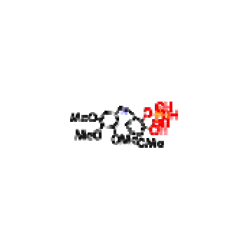 COc1ccc(/C=C\c2cc(OC)c(OC)c(OC)c2)c(O[PH](O)(O)O)c1O